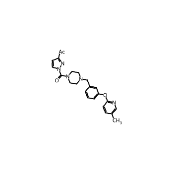 CC(=O)c1ccn(C(=O)N2CCN(Cc3cccc(Oc4ccc(C)cn4)c3)CC2)n1